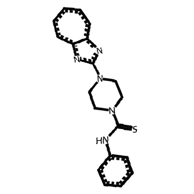 S=C(Nc1ccccc1)N1CCN(c2nc3cccccc-3n2)CC1